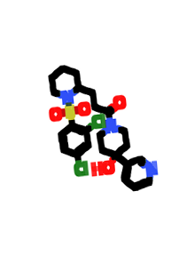 O=C(CCC1CCCCN1S(=O)(=O)c1ccc(Cl)cc1Cl)N1CCC(O)(c2cccnc2)CC1